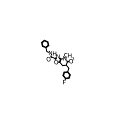 CN1C(=O)C(Cc2ccc(F)cc2)Cc2oc(C(=O)NCc3ccccc3)nc21